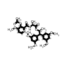 COc1cc(OC)cc(C(c2cc(OC)cc(OC)c2)[C@H](C)OC(=O)[C@H](C)NC(=O)c2nccc(OC)c2OC(C)=O)c1